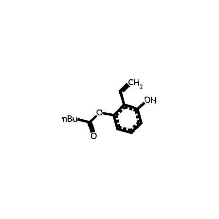 C=Cc1c(O)cccc1OC(=O)CCCC